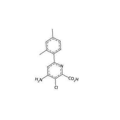 Cc1ccc(-c2cc(N)c(Cl)c(C(=O)O)n2)c(C)c1